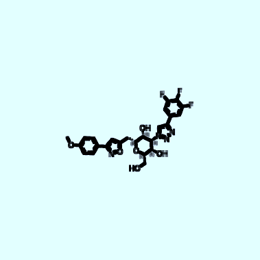 COc1ccc(-c2cc(C[C@H]3O[C@H](CO)[C@H](O)[C@H](n4cc(-c5cc(F)c(F)c(F)c5)nn4)[C@H]3O)on2)cc1